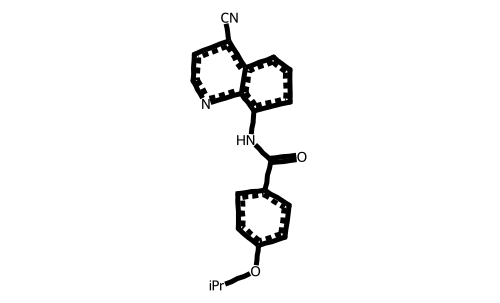 CC(C)Oc1ccc(C(=O)Nc2cccc3c(C#N)ccnc23)cc1